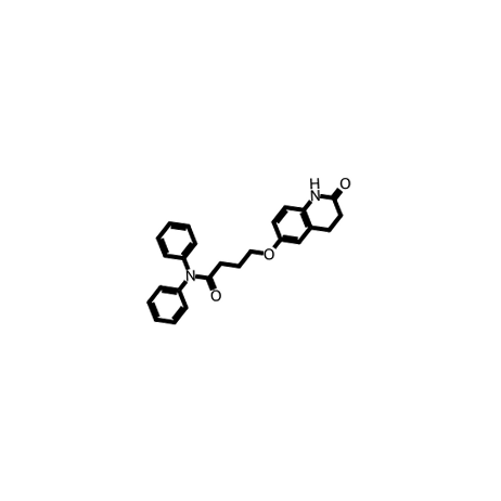 O=C1CCc2cc(OCCCC(=O)N(c3ccccc3)c3ccccc3)ccc2N1